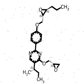 CCC[C@@H]1O[C@H]1COc1ccc(-c2ncc([C@@H](C)CC)c(OC[C@@H]3CO3)n2)cc1